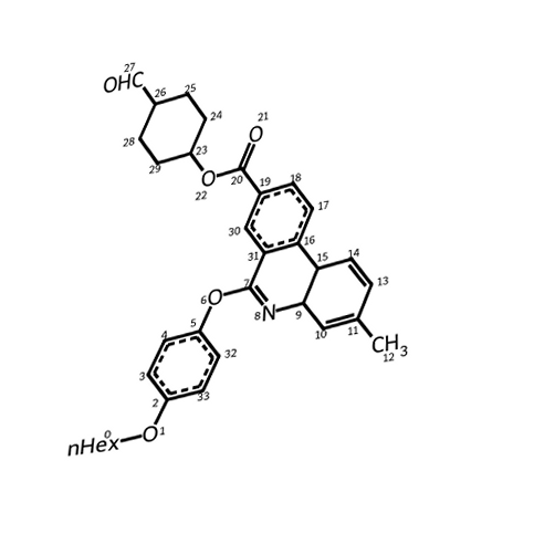 CCCCCCOc1ccc(OC2=NC3C=C(C)C=CC3c3ccc(C(=O)OC4CCC(C=O)CC4)cc32)cc1